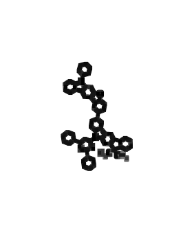 CC1(C)c2ccccc2-c2cc3c4cc(-c5ccc6oc7cc8c(cc7c6c5)c5ccccc5n8-c5ccccc5)ccc4n(-c4cc(-c5ccccc5)nc(-c5ccccc5)n4)c3cc21